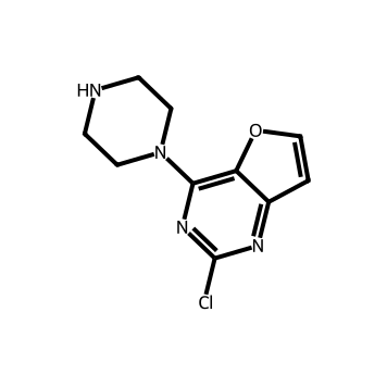 Clc1nc(N2CCNCC2)c2occc2n1